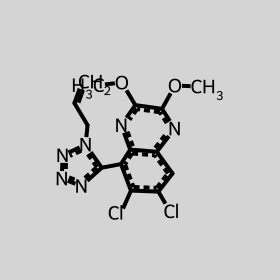 C=CCn1nnnc1-c1c(Cl)c(Cl)cc2nc(OC)c(OC)nc12